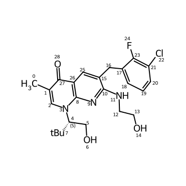 Cc1cn([C@H](CO)C(C)(C)C)c2nc(NCCO)c(Cc3cccc(Cl)c3F)cc2c1=O